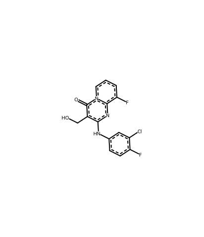 O=c1c(CO)c(Nc2ccc(F)c(Cl)c2)nc2c(F)cccn12